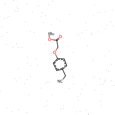 CC(C)(C)OC(=O)COc1ccc(CC#N)cc1